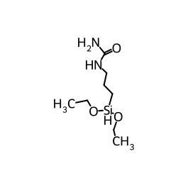 CCO[SiH](CCCNC(N)=O)OCC